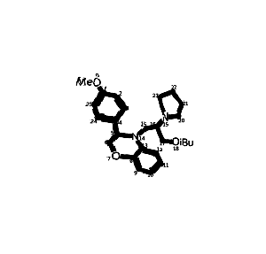 COc1ccc(C2COc3ccccc3N2CC(COCC(C)C)N2CCCC2)cc1